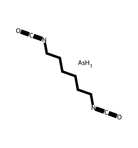 O=C=NCCCCCCN=C=O.[AsH3]